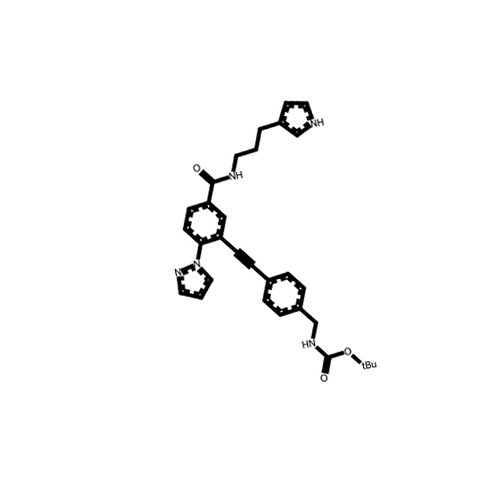 CC(C)(C)OC(=O)NCc1ccc(C#Cc2cc(C(=O)NCCCc3cc[nH]c3)ccc2-n2cccn2)cc1